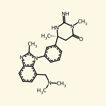 Cc1nc2cccc(CN(C)C)c2n1-c1cccc([C@]2(C)CC(=O)N(C)C(=N)N2)c1